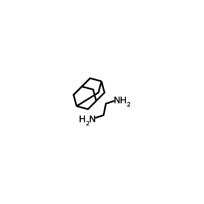 C1C2CC3CC1CC(C2)C3.NCCN